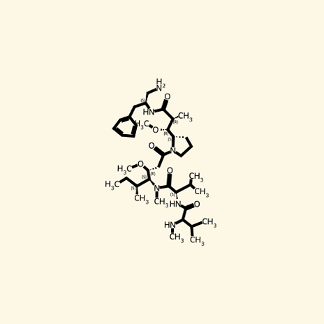 CC[C@H](C)[C@@H]([C@@H](CC(=O)N1CCC[C@H]1[C@H](OC)[C@@H](C)C(=O)N[C@H](CN)Cc1ccccc1)OC)N(C)C(=O)[C@@H](NC(=O)C(NC)C(C)C)C(C)C